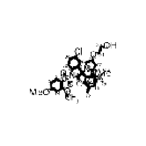 COc1ccc(S(=O)(=O)N2C(=O)C(c3cc(C)ccc3OC)(N3C[C@H](OCCO)C[C@H]3C(=O)N(C)C)c3cc(Cl)ccc32)c(OC(F)(F)F)c1